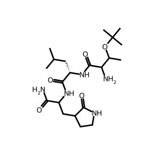 CC(C)C[C@H](NC(=O)C(N)C(C)OC(C)(C)C)C(=O)NC(CC1CCNC1=O)C(N)=O